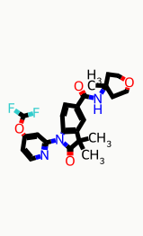 CC1(NC(=O)c2ccc3c(c2)C(C)(C)C(=O)N3c2cc(OC(F)F)ccn2)CCOCC1